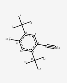 CC(C)(C)c1cc(C#N)c(C(C)(C)C)cc1F